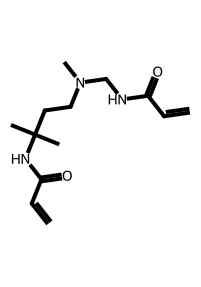 C=CC(=O)NCN(C)CCC(C)(C)NC(=O)C=C